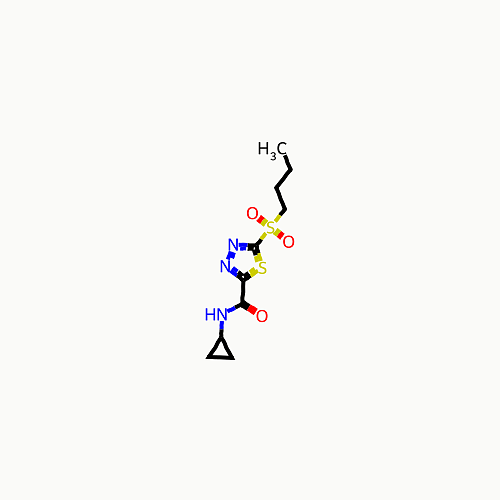 CCCCS(=O)(=O)c1nnc(C(=O)NC2CC2)s1